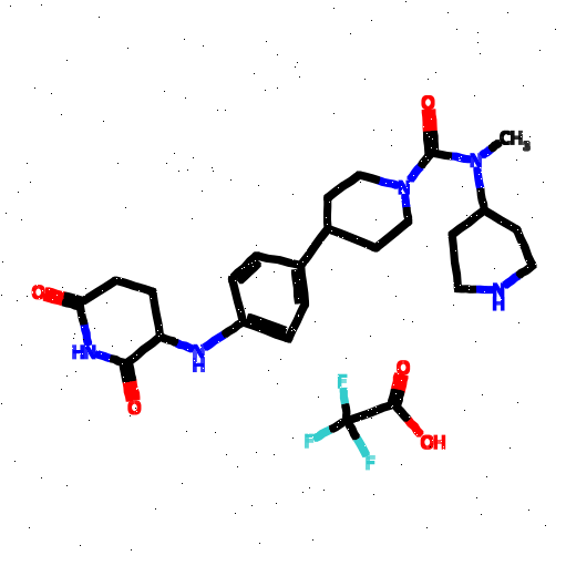 CN(C(=O)N1CCC(c2ccc(NC3CCC(=O)NC3=O)cc2)CC1)C1CCNCC1.O=C(O)C(F)(F)F